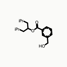 CC(C)CC(CC(C)C)OC(=O)c1cccc(CO)c1